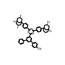 CC[C@@H]1C[C@@H]2C[C@H](C)CC(c3ccc(-c4nc(-c5ccc(C67C[C@H](C)C[C@H](C[C@H](C)C6)C7)cc5)nc(-c5cc(-c6ccccc6)cc(-c6ccc(C#N)cc6)c5)n4)cc3)(C1)C2